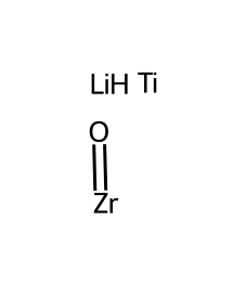 [LiH].[O]=[Zr].[Ti]